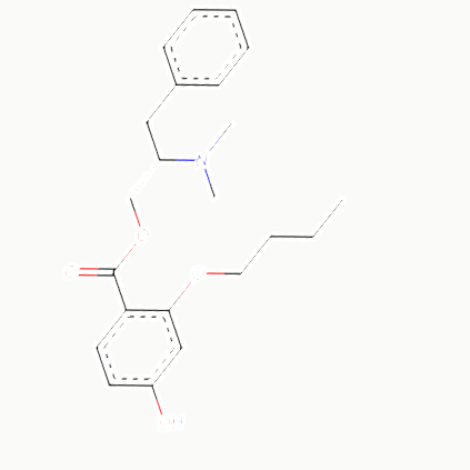 CCCCOc1cc(O)ccc1C(=O)OC[C@H](Cc1ccccc1)N(C)C